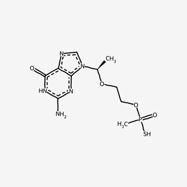 C[C@@H](OCCOP(C)(=O)S)n1cnc2c(=O)[nH]c(N)nc21